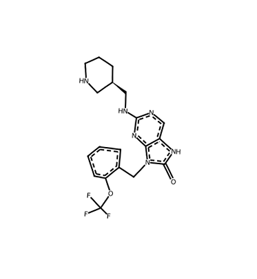 O=c1[nH]c2cnc(NC[C@@H]3CCCNC3)nc2n1Cc1ccccc1OC(F)(F)F